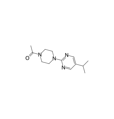 CC(=O)N1CCN(c2ncc(C(C)C)cn2)CC1